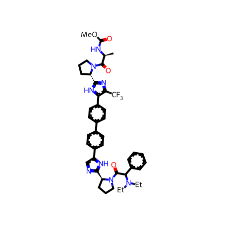 CCN(CC)C(C(=O)N1CCC[C@H]1c1ncc(-c2ccc(-c3ccc(-c4[nH]c([C@@H]5CCCN5C(=O)[C@H](C)NC(=O)OC)nc4C(F)(F)F)cc3)cc2)[nH]1)c1ccccc1